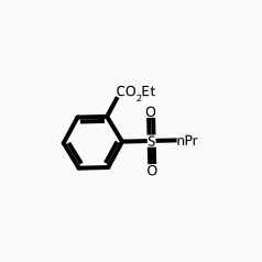 CCCS(=O)(=O)c1ccccc1C(=O)OCC